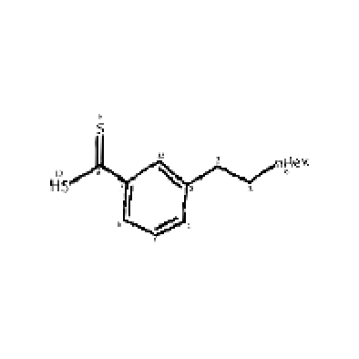 CCCCCCCCc1cccc(C(=S)S)c1